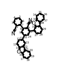 N#Cc1ccccc1-c1cc(-c2ccc3oc4ccccc4c3c2)cc(-c2cccc3c2oc2ccccc23)c1C#N